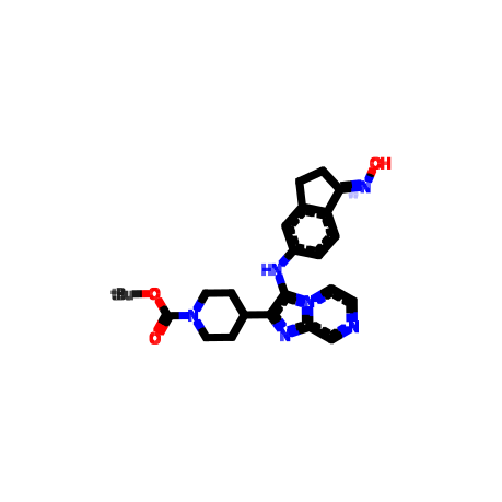 CC(C)(C)OC(=O)N1CCC(c2nc3cnccn3c2Nc2ccc3c(c2)CC/C3=N\O)CC1